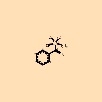 [NH2][Cr]([Cl])([Cl])([Cl])[C](=O)c1ccccc1